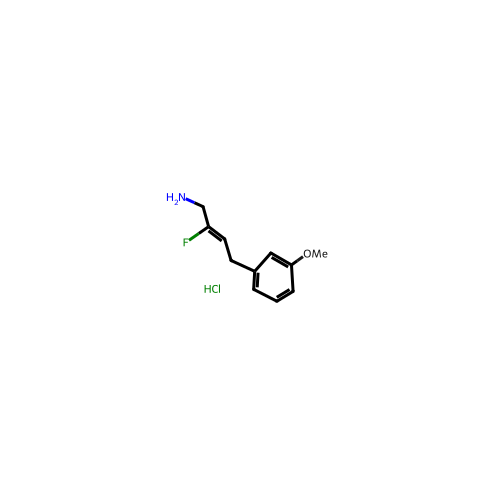 COc1cccc(CC=C(F)CN)c1.Cl